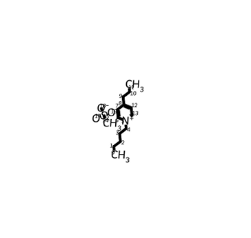 CCCCC[n+]1ccc(CCC)cc1.CS(=O)(=O)[O-]